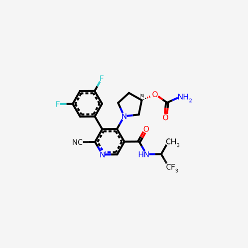 CC(NC(=O)c1cnc(C#N)c(-c2cc(F)cc(F)c2)c1N1CC[C@H](OC(N)=O)C1)C(F)(F)F